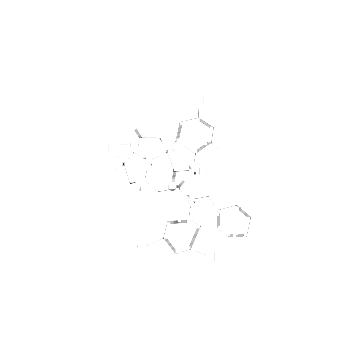 C[C@@H](C(=O)N(Cc1ccccc1)c1cc(Cl)cc(Cl)c1)[C@H]1CC(F)(F)CN1[C@@]1(CC(=O)O)C(=O)Nc2c(Cl)cc(Cl)cc21